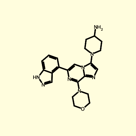 NC1CCN(c2cnc3c(N4CCOCC4)nc(-c4cccc5[nH]ncc45)cn23)CC1